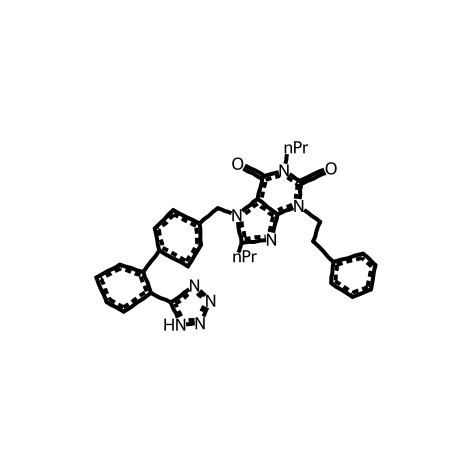 CCCc1nc2c(c(=O)n(CCC)c(=O)n2CCc2ccccc2)n1Cc1ccc(-c2ccccc2-c2nnn[nH]2)cc1